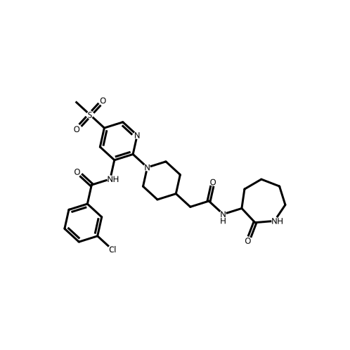 CS(=O)(=O)c1cnc(N2CCC(CC(=O)NC3CCCCNC3=O)CC2)c(NC(=O)c2cccc(Cl)c2)c1